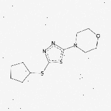 C1CCC(Sc2nnc(N3CCOCC3)s2)C1